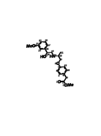 COC(=O)Cc1ccc(OCC(C)NCC(O)c2cccc(OC)c2)cc1